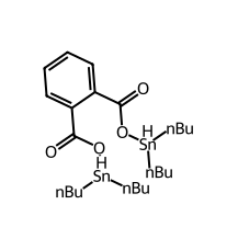 CCC[CH2][SnH]([CH2]CCC)[O]C(=O)c1ccccc1C(=O)[O][SnH]([CH2]CCC)[CH2]CCC